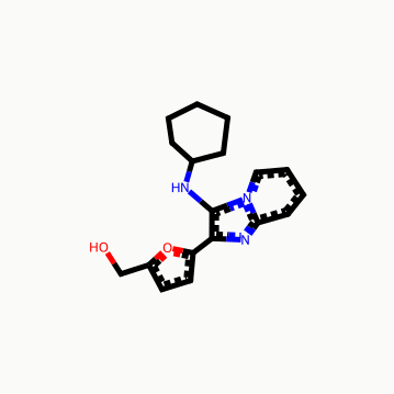 OCc1ccc(-c2nc3ccccn3c2NC2CCCCC2)o1